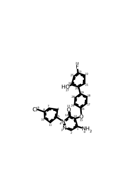 Nc1cnn(-c2ccc(Cl)cc2)c(=O)c1Oc1ccc(-c2ccc(F)cc2O)cc1